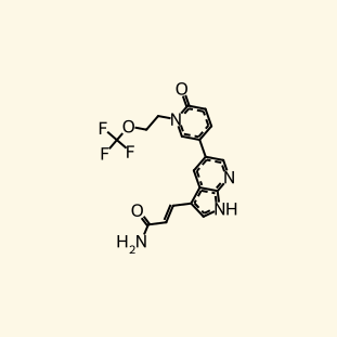 NC(=O)C=Cc1c[nH]c2ncc(-c3ccc(=O)n(CCOC(F)(F)F)c3)cc12